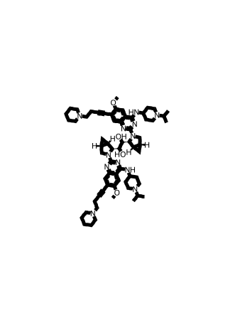 COc1cc2c(NC3CCN(C(C)C)CC3)nc(N3C[C@@H]4C[C@@H]4[C@@H]3C(O)C(O)[C@H]3[C@H]4C[C@H]4CN3c3nc(NC4CCN(C(C)C)CC4)c4cc(OC)c(C#CCCN5CCCCC5)cc4n3)nc2cc1C#CCCN1CCCCC1